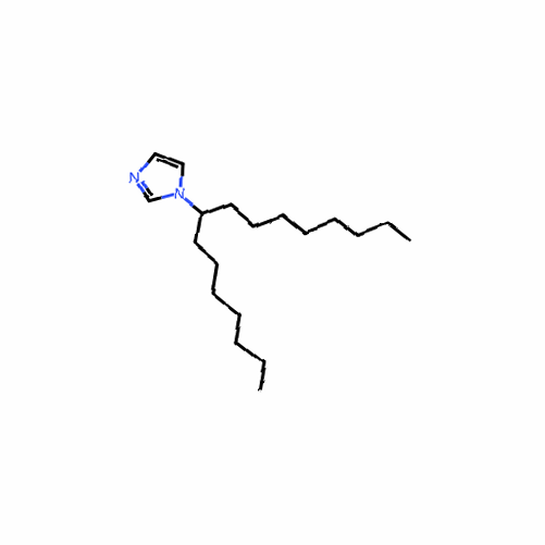 CCCCCCCCC(CCCCCCC)n1ccnc1